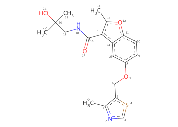 Cc1ncsc1COc1ccc2oc(C)c(C(=O)NCC(C)(C)O)c2c1